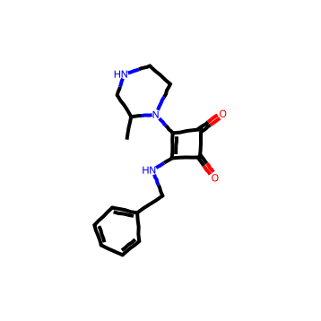 CC1CNCCN1c1c(NCc2ccccc2)c(=O)c1=O